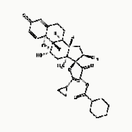 C[C@@H]1C[C@H]2[C@@H]3CCC4=CC(=O)C=C[C@]4(C)[C@@]3(F)[C@@H](O)C[C@]2(C)[C@@]1(OC(=O)C1CC1)C(=O)COC(=O)C1CCCCC1